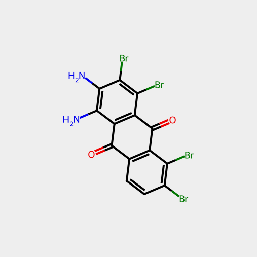 Nc1c(N)c2c(c(Br)c1Br)C(=O)c1c(ccc(Br)c1Br)C2=O